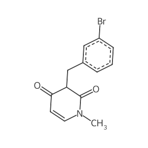 CN1C=CC(=O)C(Cc2cccc(Br)c2)C1=O